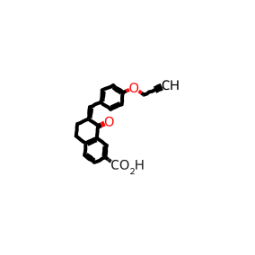 C#CCOc1ccc(C=C2CCc3ccc(C(=O)O)cc3C2=O)cc1